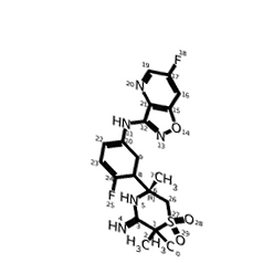 CC1(C)C(=N)N[C@](C)(C2CC(Nc3noc4cc(F)cnc34)=CC=C2F)CS1(=O)=O